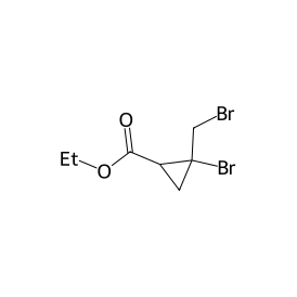 CCOC(=O)C1CC1(Br)CBr